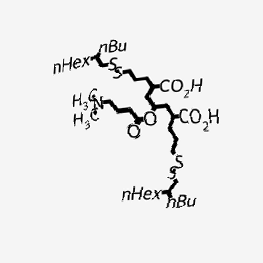 CCCCCCC(CCCC)CSSCCCC(CC(CC(CCCSSCC(CCCC)CCCCCC)C(=O)O)OC(=O)CCCN(C)C)C(=O)O